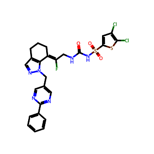 O=C(NCC(F)=C1CCCc2cnn(Cc3cnc(-c4ccccc4)nc3)c21)NS(=O)(=O)c1cc(Cl)c(Cl)s1